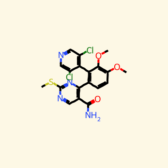 COc1ccc(-c2nc(SC)ncc2C(N)=O)c(-c2c(Cl)cncc2Cl)c1OC